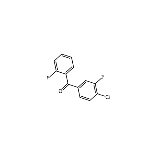 O=C(c1ccc(Cl)c(F)c1)c1ccccc1F